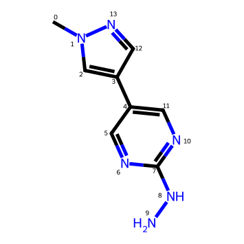 Cn1cc(-c2cnc(NN)nc2)cn1